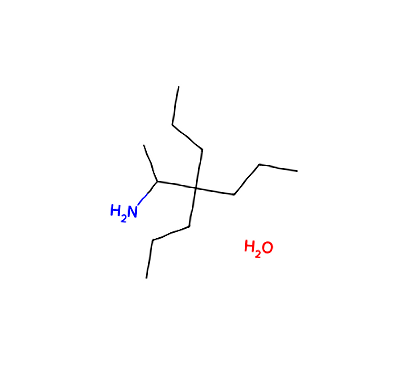 CCCC(CCC)(CCC)C(C)N.O